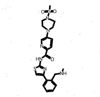 CNCc1ccccc1-c1csc(NC(=O)c2ccc(N3CCN(S(C)(=O)=O)CC3)cn2)n1